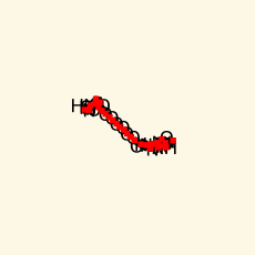 C=C1/N=C(/Nc2ccc(N3CCN(C(=O)CCOCCOCCOCCOCCOCCOCCC(=O)Nc4ccccc4C(=O)Nc4nc(C)c(C)s4)CC3)cn2)N(C)C(C)(C)CC(=O)N1C1CCCC1